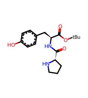 CC(C)(C)OC(=O)[C@H](Cc1ccc(O)cc1)NC(=O)[C@@H]1CCCN1